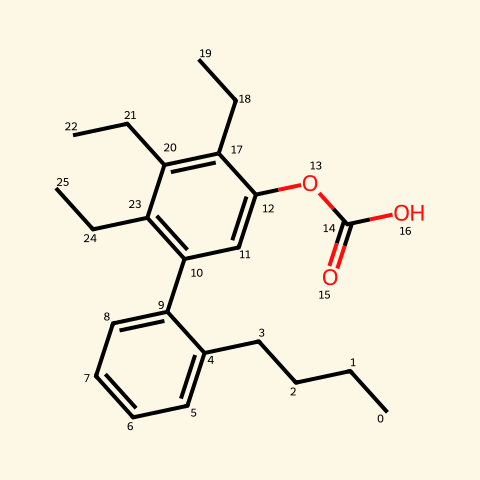 CCCCc1ccccc1-c1cc(OC(=O)O)c(CC)c(CC)c1CC